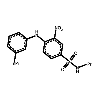 CCCc1cccc(Nc2ccc(S(=O)(=O)NC(C)C)cc2[N+](=O)[O-])c1